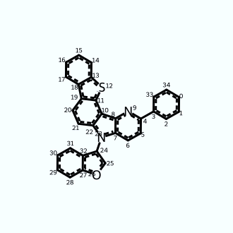 c1ccc(-c2ccc3c(n2)c2c4sc5ccccc5c4ccc2n3-c2coc3ccccc23)cc1